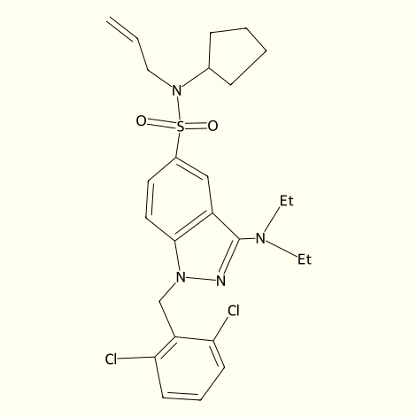 C=CCN(C1CCCC1)S(=O)(=O)c1ccc2c(c1)c(N(CC)CC)nn2Cc1c(Cl)cccc1Cl